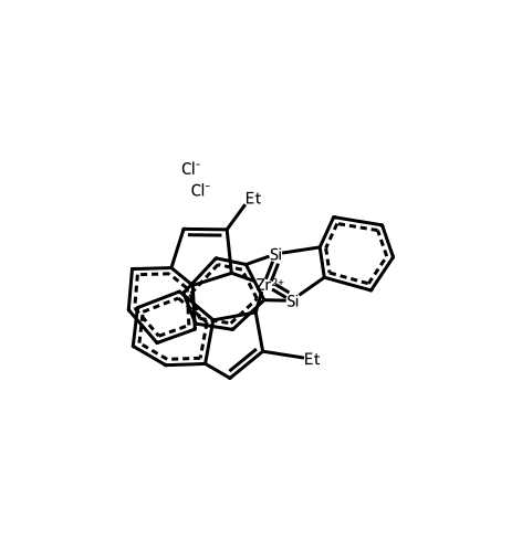 CCC1=Cc2ccccc2[CH]1[Zr+2]1([CH]2C(CC)=Cc3ccccc32)=[Si]2c3ccccc3[Si]=1c1ccccc12.[Cl-].[Cl-]